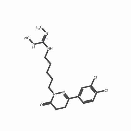 C/N=C(\NC#N)NCCCCCN1N=C(c2ccc(Cl)c(Cl)c2)CCC1=O